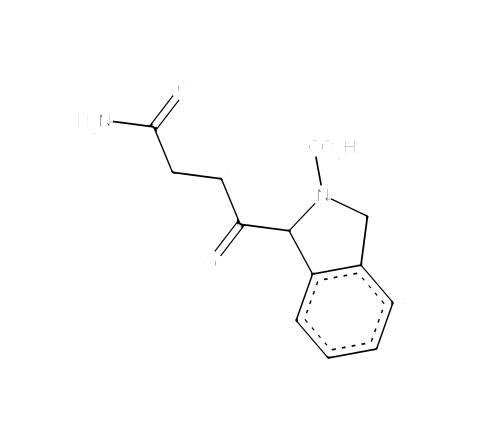 NC(=O)CCC(=O)C1c2ccccc2CN1C(=O)O